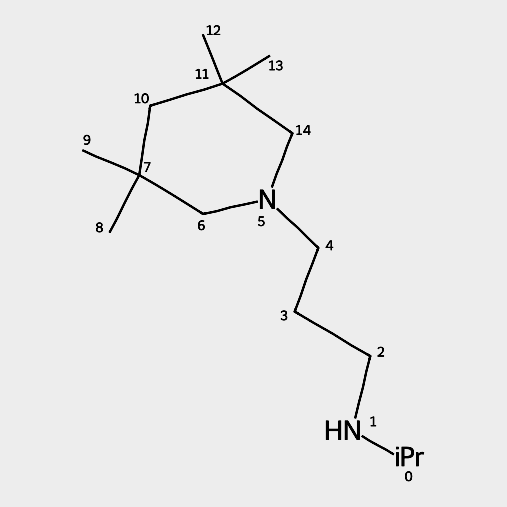 CC(C)NCCCN1CC(C)(C)CC(C)(C)C1